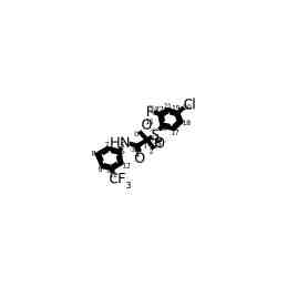 CC(C)(C(=O)Nc1cccc(C(F)(F)F)c1)S(=O)(=O)c1ccc(Cl)cc1F